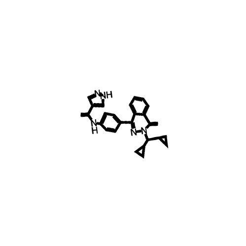 C=C(Nc1ccc(C2=NN(C(C3CC3)C3CC3)C(=C)c3ccccc32)cc1)c1cn[nH]c1